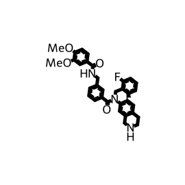 COc1ccc(C(=O)NCc2cccc(C(=O)N(Cc3c(F)cccc3F)c3ccc4c(c3)CNCC4)c2)cc1OC